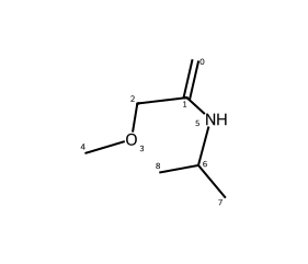 C=C(COC)NC(C)C